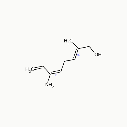 C=C/C(N)=C\C/C=C(\C)CO